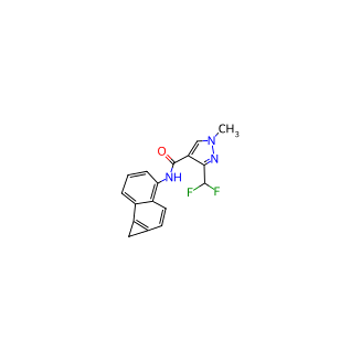 Cn1cc(C(=O)Nc2cccc3c4c(ccc23)C4)c(C(F)F)n1